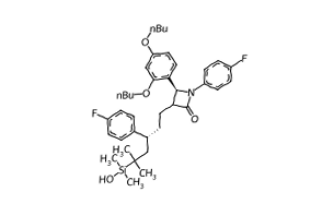 CCCCOc1ccc([C@@H]2C(CC[C@H](CC(C)(C)[Si](C)(C)O)c3ccc(F)cc3)C(=O)N2c2ccc(F)cc2)c(OCCCC)c1